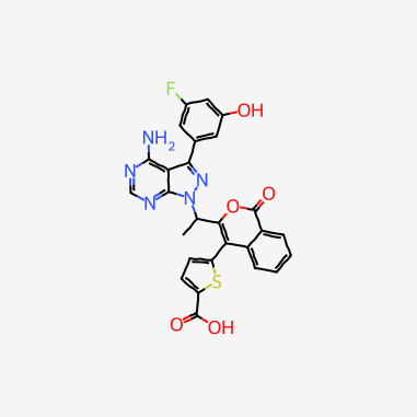 CC(c1oc(=O)c2ccccc2c1-c1ccc(C(=O)O)s1)n1nc(-c2cc(O)cc(F)c2)c2c(N)ncnc21